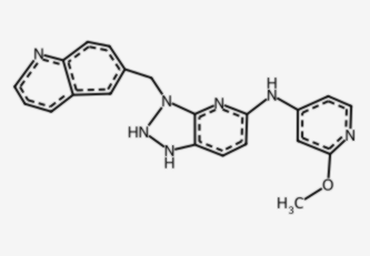 COc1cc(Nc2ccc3c(n2)N(Cc2ccc4ncccc4c2)NN3)ccn1